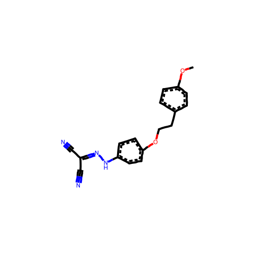 COc1ccc(CCOc2ccc(NN=C(C#N)C#N)cc2)cc1